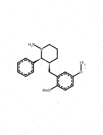 COc1ccc(OC(F)(F)F)cc1C[C@@H]1CCCN(N)[C@@H]1c1ccccc1